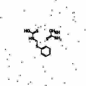 NC(O)=S.OC(=S)NCSc1ccccc1.[KH]